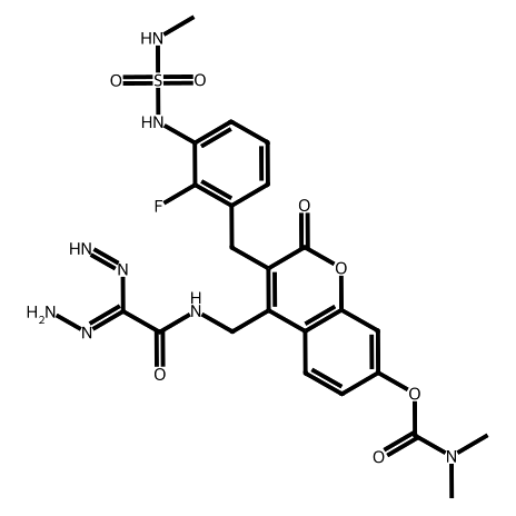 CNS(=O)(=O)Nc1cccc(Cc2c(CNC(=O)/C(N=N)=N/N)c3ccc(OC(=O)N(C)C)cc3oc2=O)c1F